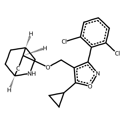 Clc1cccc(Cl)c1-c1noc(C2CC2)c1CO[C@H]1C[C@@H]2CC[C@H]1CN2